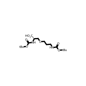 CC(C)(C)OC(=O)NCCCOC[C@H](NC(=O)OC(C)(C)C)C(=O)O